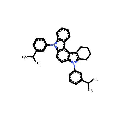 CC(C)c1cccc(-n2c3c(c4c5c6ccccc6n(-c6cccc(C(C)C)c6)c5ccc42)CCCC3)c1